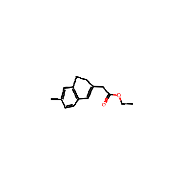 CCOC(=O)CC1=Cc2ccc(C)cc2CC1